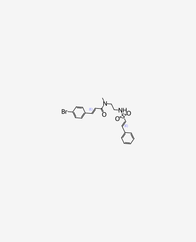 CN(CCNS(=O)(=O)/C=C/c1ccccc1)C(=O)/C=C/c1ccc(Br)cc1